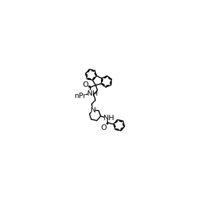 CCCNC(=O)C1(CCCCN2CCCC(NC(=O)c3ccccc3)C2)c2ccccc2-c2ccccc21